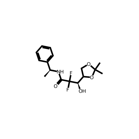 C[C@H](NC(=O)C(F)(F)[C@H](O)C1COC(C)(C)O1)c1ccccc1